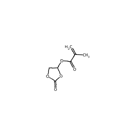 C=C(C)C(=O)OC1COC(=O)O1